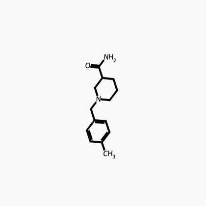 Cc1ccc(CN2CCCC(C(N)=O)C2)cc1